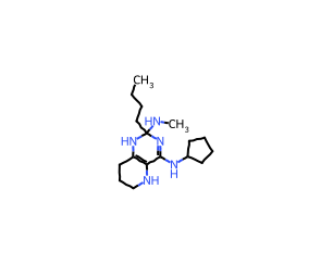 CCCCC1(NC)N=C(NC2CCCC2)C2=C(CCCN2)N1